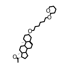 CC(=O)[C@H]1CCC2C3CC=C4C[C@@H](OCCCCCCOC5CCCCO5)CC[C@]4(C)C3CC[C@@]21C